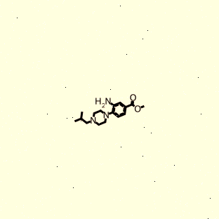 COC(=O)c1ccc(N2CCN(C[C](C)C)CC2)c(N)c1